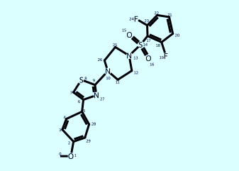 COc1ccc(-c2csc(N3CCN(S(=O)(=O)c4c(F)cccc4F)CC3)n2)cc1